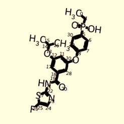 CCP(=O)(O)c1ccc(Oc2cc(OC(C)C)cc(C(=O)Nc3ncc(F)s3)c2)cc1